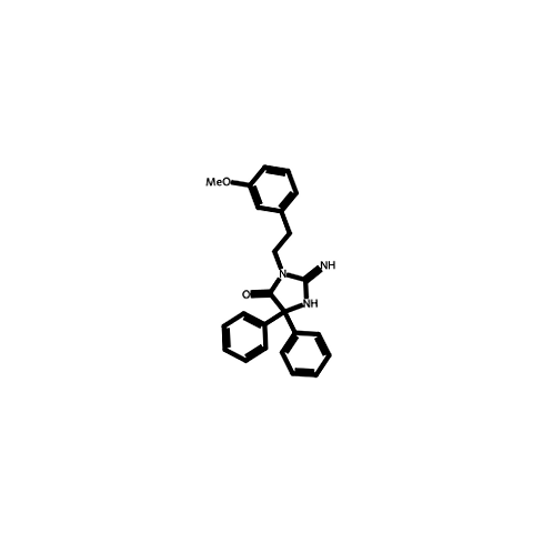 COc1cccc(CCN2C(=N)NC(c3ccccc3)(c3ccccc3)C2=O)c1